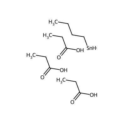 CCC(=O)O.CCC(=O)O.CCC(=O)O.CCC[CH2][SnH]